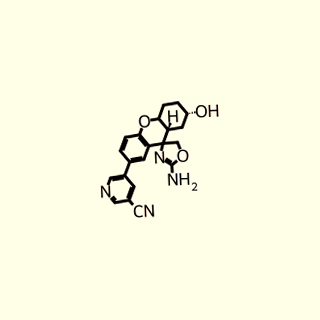 N#Cc1cncc(-c2ccc3c(c2)C2(COC(N)=N2)[C@H]2C[C@@H](O)CCC2O3)c1